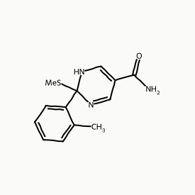 CSC1(c2ccccc2C)N=CC(C(N)=O)=CN1